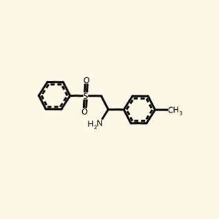 Cc1ccc(C(N)CS(=O)(=O)c2ccccc2)cc1